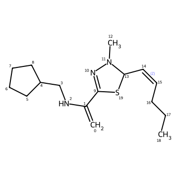 C=C(NCC1CCCC1)C1=NN(C)C(/C=C\CCC)S1